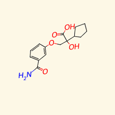 NC(=O)c1cccc(OCC(O)(C(=O)O)C2CCCC2)c1